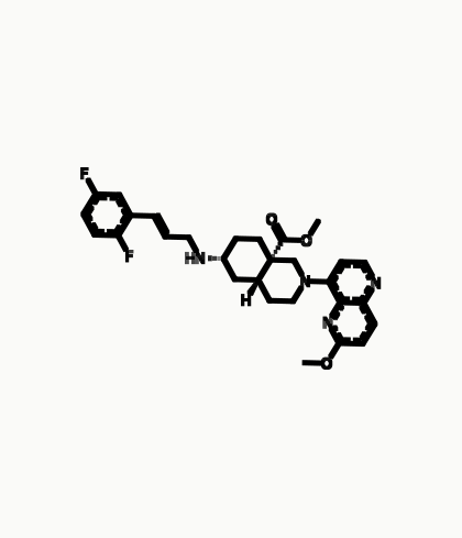 COC(=O)[C@@]12CC[C@@H](NC/C=C/c3cc(F)ccc3F)C[C@H]1CCN(c1ccnc3ccc(OC)nc13)C2